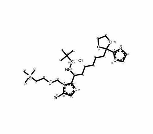 CC(C)(C)[S@+]([O-])NC(CCCCCC1(c2ncco2)OCCO1)c1ncc(Br)n1COCC[Si](C)(C)C